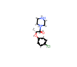 C[C@@H](Oc1ccc(Cl)cc1)C(=O)N1CCNCC1